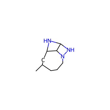 CC1CCCN2NC3NC(C1)C32